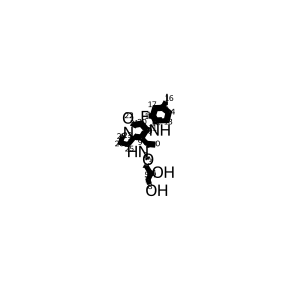 C=C(NOC[C@H](O)CO)c1c(Nc2ccc(I)cc2F)cc(=O)n2c1CCC2